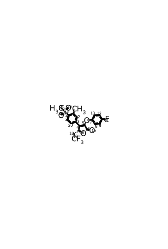 Cc1cc(C2=C(Oc3ccc(F)cc3)C(=O)O[C@@H]2CC(F)(F)F)ccc1S(C)(=O)=O